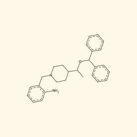 CC(OC(c1ccccc1)c1ccccc1)C1CCN(Cc2ccccc2N)CC1